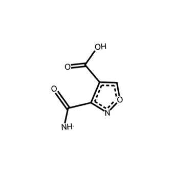 [NH]C(=O)c1nocc1C(=O)O